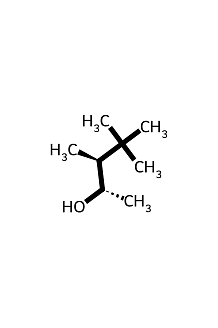 C[C@H](O)[C@@H](C)C(C)(C)C